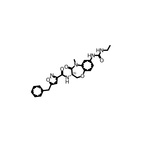 CCNC(=O)Nc1ccc2c(c1)N(C)C(=O)[C@@H](NC(=O)c1cc(Cc3ccccc3)on1)CO2